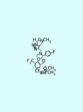 CN(C)Cc1[nH]nnc1CN1CCOC(O[C@H](CO[Si](C)(C)C(C)(C)C)c2cc(C(F)(F)F)cc(C(F)(F)F)c2)C1c1ccc(F)cc1